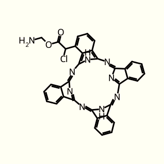 NCOC(=O)C(Cl)c1cccc2c3nc4nc(nc5[nH]c(nc6nc(nc([nH]3)c12)-c1ccccc1-6)c1ccccc51)-c1ccccc1-4